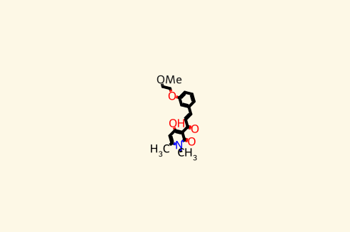 COCCOc1cccc(/C=C/C(=O)c2c(O)cc(C)n(C)c2=O)c1